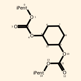 CCCC(C)OC(=O)OC1CCCC(OC(=O)OC(C)CCC)C1